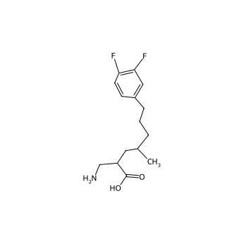 CC(CCCc1ccc(F)c(F)c1)CC(CN)C(=O)O